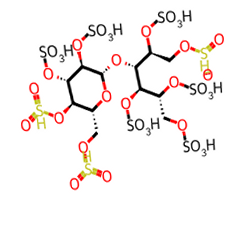 O=[SH](=O)OC[C@H](OS(=O)(=O)O)[C@@H](O[C@@H]1O[C@H](CO[SH](=O)=O)[C@@H](O[SH](=O)=O)[C@H](OS(=O)(=O)O)[C@H]1OS(=O)(=O)O)[C@H](OS(=O)(=O)O)[C@@H](COS(=O)(=O)O)OS(=O)(=O)O